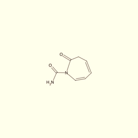 NC(=O)N1C=CC=CCC1=O